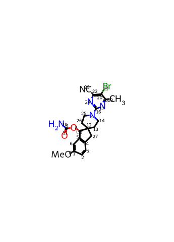 COc1ccc2c(c1)[C@@H](OC(N)=O)C1(CCN(c3nc(C)c(Br)c(C#N)n3)CC1)C2